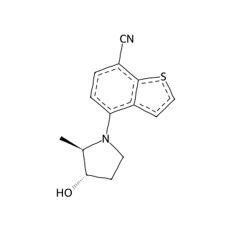 C[C@@H]1[C@@H](O)CCN1c1ccc(C#N)c2sccc12